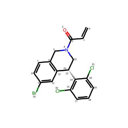 C=CC(=O)N1Cc2ccc(Br)cc2[C@@H](c2c(Cl)cccc2Cl)C1